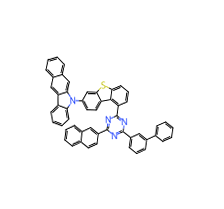 c1ccc(-c2cccc(-c3nc(-c4ccc5ccccc5c4)nc(-c4cccc5sc6cc(-n7c8ccccc8c8cc9ccccc9cc87)ccc6c45)n3)c2)cc1